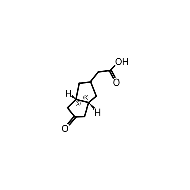 O=C(O)CC1C[C@H]2CC(=O)C[C@H]2C1